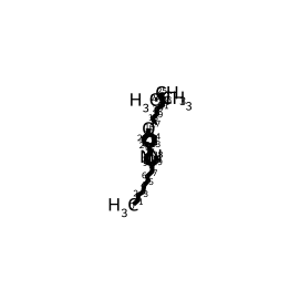 CCCCCCCCc1cnc(-c2ccc(OCCCCC[Si](C)(C)C)cc2)nc1